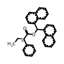 CC[C@@H](C(=O)OC(c1cccc2ccccc12)c1cccc2ccccc12)c1ccccc1